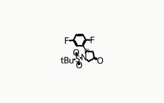 CC(C)(C)S(=O)(=O)N1CC(=O)C[C@@H]1c1cc(F)ccc1F